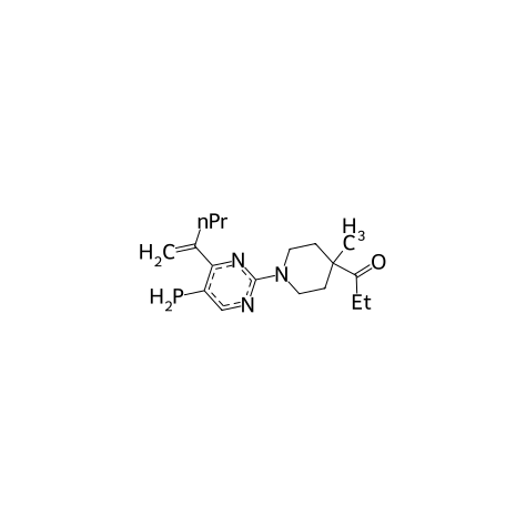 C=C(CCC)c1nc(N2CCC(C)(C(=O)CC)CC2)ncc1P